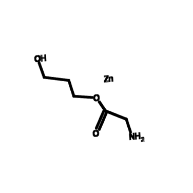 NCC(=O)OCCCO.[Zn]